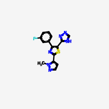 Cn1nccc1-c1nc(-c2cccc(F)c2)c(-c2nnc[nH]2)s1